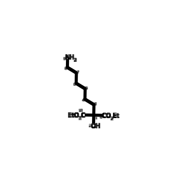 CCOC(=O)C(O)(CCCCCCN)C(=O)OCC